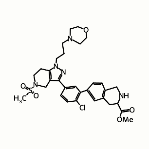 COC(=O)C1Cc2cc(-c3cc(-c4nn(CCCN5CCOCC5)c5c4CN(S(C)(=O)=O)CC5)ccc3Cl)ccc2CN1